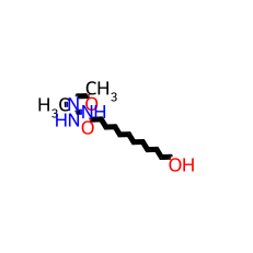 CC(=O)CN(C)C(=N)NC(=O)CCCCCCCCCCCO